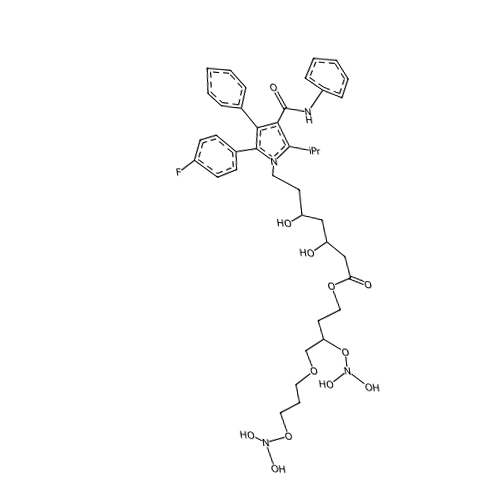 CC(C)c1c(C(=O)Nc2ccccc2)c(-c2ccccc2)c(-c2ccc(F)cc2)n1CCC(O)CC(O)CC(=O)OCCC(COCCCON(O)O)ON(O)O